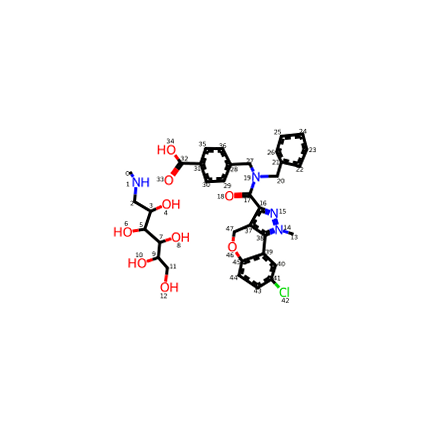 CNCC(O)C(O)C(O)C(O)CO.Cn1nc(C(=O)N(Cc2ccccc2)Cc2ccc(C(=O)O)cc2)c2c1-c1cc(Cl)ccc1OC2